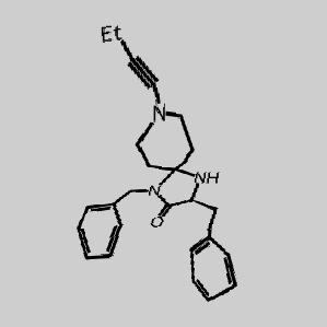 CCC#CN1CCC2(CC1)N[C@@H](Cc1ccccc1)C(=O)N2Cc1ccccc1